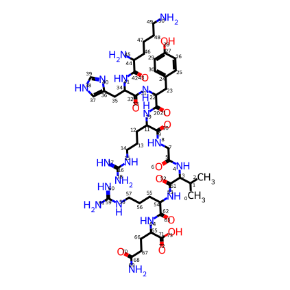 CC(C)C(NC(=O)CNC(=O)C(CCCNC(=N)N)NC(=O)C(Cc1ccc(O)cc1)NC(=O)C(Cc1c[nH]cn1)NC(=O)C(N)CCCCN)C(=O)NC(CCCNC(=N)N)C(=O)NC(CCC(N)=O)C(=O)O